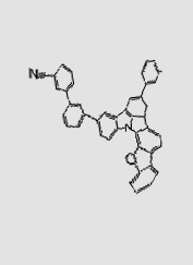 N#Cc1cccc(-c2cccc(-c3ccc4c(c3)c3c5n4-c4c(ccc6c4oc4ccccc46)C5CC(c4ccccc4)=C3)c2)c1